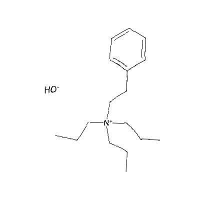 CCC[N+](CCC)(CCC)CCc1ccccc1.[OH-]